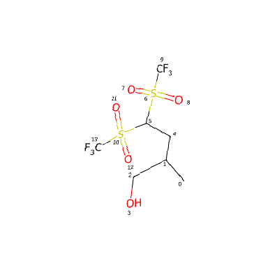 CC(CO)CC(S(=O)(=O)C(F)(F)F)S(=O)(=O)C(F)(F)F